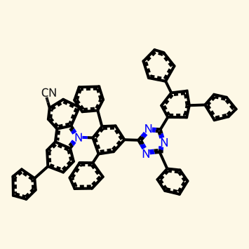 N#Cc1ccc2c(c1)c1cc(-c3ccccc3)ccc1n2-c1c(-c2ccccc2)cc(-c2nc(-c3ccccc3)nc(-c3cc(-c4ccccc4)cc(-c4ccccc4)c3)n2)cc1-c1ccccc1